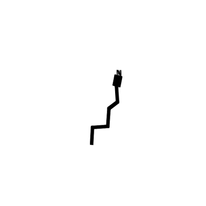 CCCCCC#N